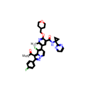 CNC(=O)c1c(-c2ccc(F)cc2)nn2ccc(-c3cc(C(=O)NC4(c5ncccn5)CC4)c(OCC4CCOCC4)nc3C)c(F)c12